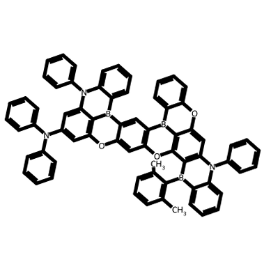 Cc1cccc(C)c1B1c2ccccc2N(c2ccccc2)c2cc3c4c(c21)Oc1cc2c(cc1B4c1ccccc1O3)B1c3ccccc3N(c3ccccc3)c3cc(N(c4ccccc4)c4ccccc4)cc(c31)O2